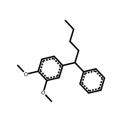 CCCCC(c1ccccc1)c1ccc(OC)c(OC)c1